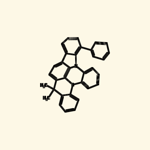 CC1(C)c2ccccc2B2c3ccccc3-n3c4c(-c5ccccc5)cccc4c4ccc1c2c43